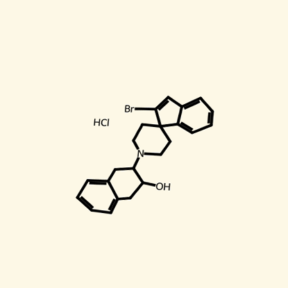 Cl.OC1Cc2ccccc2CC1N1CCC2(CC1)C(Br)=Cc1ccccc12